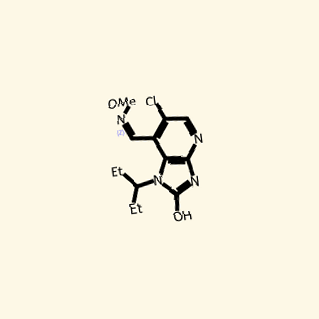 CCC(CC)n1c(O)nc2ncc(Cl)c(/C=N\OC)c21